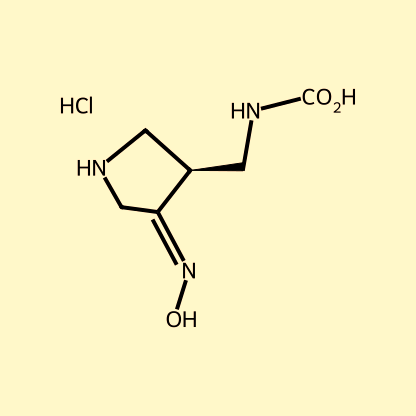 Cl.O=C(O)NC[C@@H]1CNC/C1=N\O